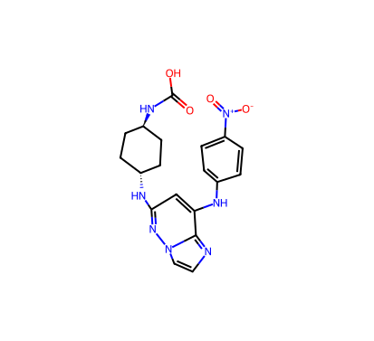 O=C(O)N[C@H]1CC[C@H](Nc2cc(Nc3ccc([N+](=O)[O-])cc3)c3nccn3n2)CC1